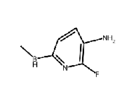 CBc1ccc(N)c(F)n1